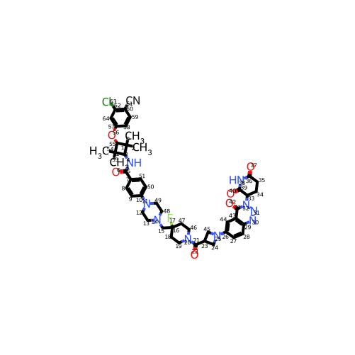 CC1(C)C(NC(=O)c2ccc(N3CCN(CC4(F)CCN(C(=O)C5CN(c6ccc7nnn(C8CCC(=O)NC8=O)c(=O)c7c6)C5)CC4)CC3)cc2)C(C)(C)C1Oc1ccc(C#N)c(Cl)c1